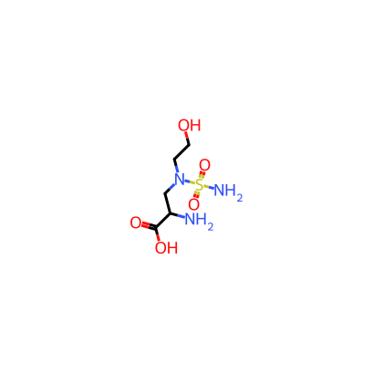 NC(CN(CCO)S(N)(=O)=O)C(=O)O